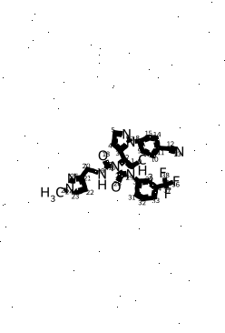 Cc1c(-c2ccnn2-c2ccc(C#N)cc2)n(C(=O)NCc2ccn(C)n2)c(=O)n1-c1cccc(C(F)(F)F)c1